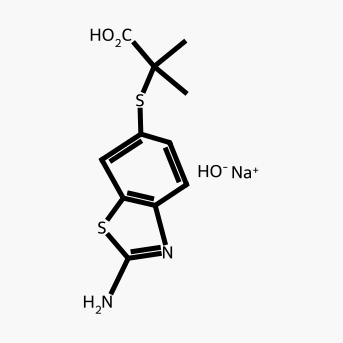 CC(C)(Sc1ccc2nc(N)sc2c1)C(=O)O.[Na+].[OH-]